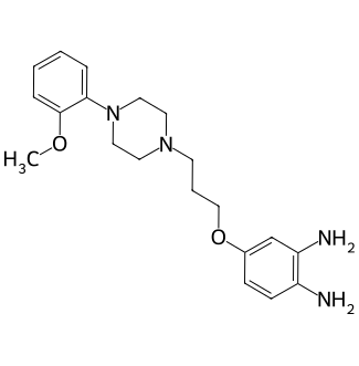 COc1ccccc1N1CCN(CCCOc2ccc(N)c(N)c2)CC1